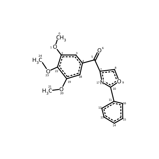 COc1cc(C(=O)c2coc(-c3ccccc3)n2)cc(OC)c1OC